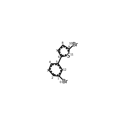 Brc1cccc(-c2ccc(Br)s2)c1